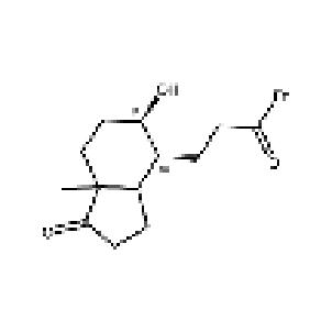 CCC(=O)CC[C@H]1C2CCC(=O)C2(C)CC[C@H]1O